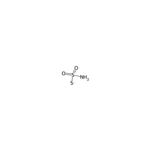 NS(=O)(=O)[S]